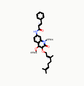 CCCCCCOc1c(OC/C=C(\C)CCC=C(C)C)c(=O)n(CCCCCC)c2cc(NC(=O)/C=C/c3ccccc3)ccc12